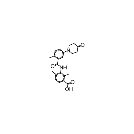 Cc1ccc(N2CCC(=O)CC2)cc1C(=O)Nc1c(C)ccc(C(=O)O)c1C